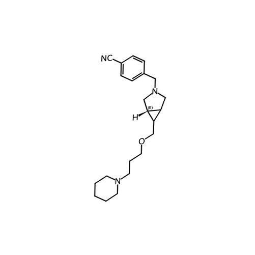 N#Cc1ccc(CN2CC3C(COCCCN4CCCCC4)[C@@H]3C2)cc1